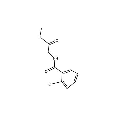 COC(=O)CNC(=O)c1ccccc1Cl